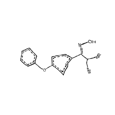 ON=C(c1ccc(Oc2ccccc2)cc1)C(Br)Br